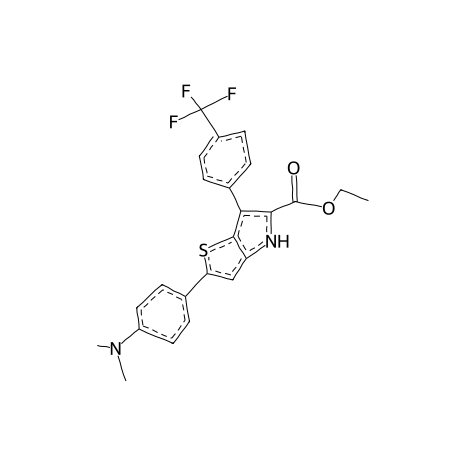 CCOC(=O)c1[nH]c2cc(-c3ccc(N(C)C)cc3)sc2c1-c1ccc(C(F)(F)F)cc1